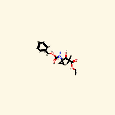 CCOC(=O)C(C)(C)C(=O)C1(NC(=O)OCc2ccccc2)CC1